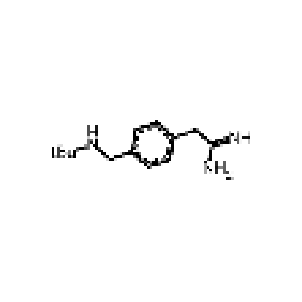 CC(C)(C)NCc1ccc(CC(=N)N)cc1